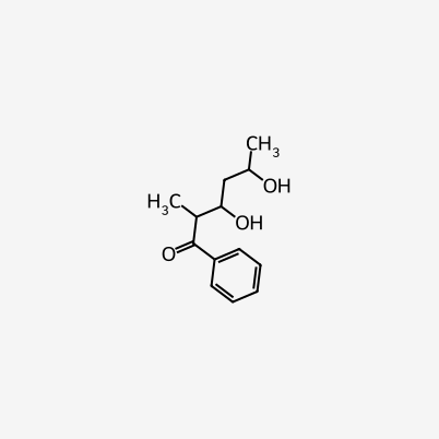 CC(O)CC(O)C(C)C(=O)c1ccccc1